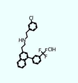 Cl.FC(F)(F)c1cccc(-c2cc(CCNCCc3cccc(Cl)c3)cc3ccccc23)c1